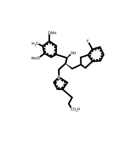 COc1cc([C@@H](O)[C@@H](CC2Cc3cccc(F)c3C2)Cn2ccc(CCC(=O)O)c2)cc(OC)c1C